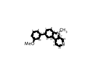 COc1cccc(-c2ccc3c(c2)c2ccncc2n3C)c1